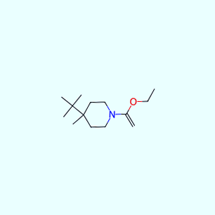 C=C(OCC)N1CCC(C)(C(C)(C)C)CC1